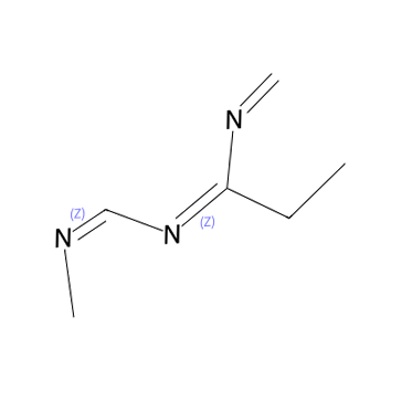 C=N/C(CC)=N\C=N/C